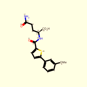 COc1cccc(-c2ccc(C(=O)N[C@@H](CCC(N)=O)C(=O)O)s2)c1